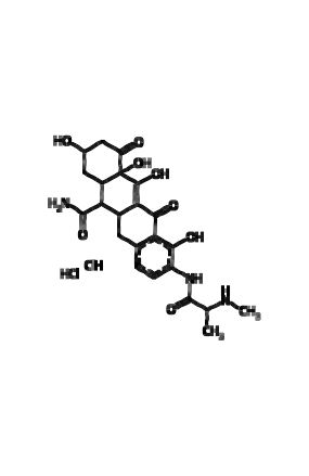 CNC(C)C(=O)Nc1ccc2c(c1O)C(=O)C1=C(O)C3(O)C(=O)CC(O)CC3C(C(N)=O)C1C2.Cl.Cl